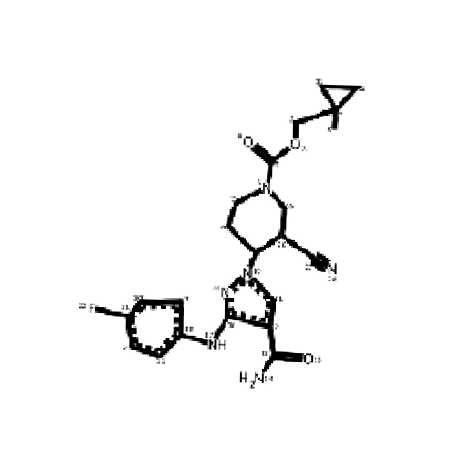 CC1(COC(=O)N2CCC(n3cc(C(N)=O)c(Nc4ccc(F)cc4)n3)C(C#N)C2)CC1